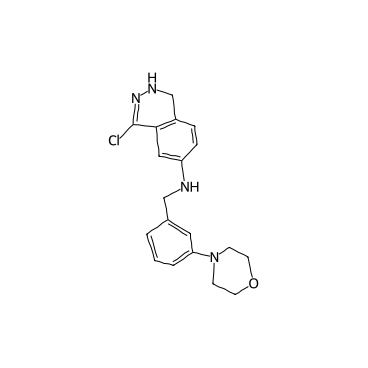 ClC1=NNCc2ccc(NCc3cccc(N4CCOCC4)c3)cc21